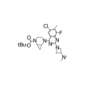 Cc1c(Cl)cc2c(N3CCN(C(=O)OC(C)(C)C)C4CC43)nc(N3CC(N(C)C)C3)nc2c1F